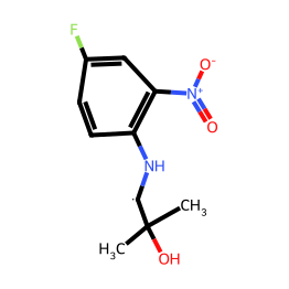 CC(C)(O)[CH]Nc1ccc(F)cc1[N+](=O)[O-]